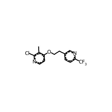 Cc1c(OCCc2ccc(C(F)(F)F)nc2)ccnc1Cl